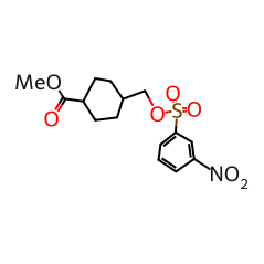 COC(=O)C1CCC(COS(=O)(=O)c2cccc([N+](=O)[O-])c2)CC1